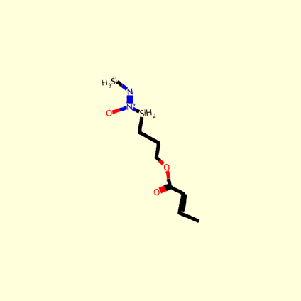 CC=CC(=O)OCCC[SiH2][N+]([O-])=N[SiH3]